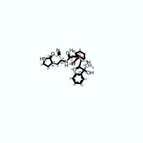 C[C@](O)(C(=O)N1[C@@H]2CC[C@H]([C@H]1C(=O)N[C@@H](C#N)C[C@H]1CCNC1=O)C(F)(F)C2)c1ccccc1